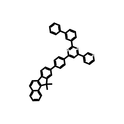 CC1(C)c2cc(-c3ccc(-c4cc(-c5cccnc5)nc(-c5cccc(-c6ccccc6)c5)n4)cc3)ccc2-c2ccc3ccccc3c21